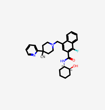 N#CC1(c2ccccn2)CCN(Cc2cc(C(=O)N[C@H]3CCCC[C@@H]3O)c(F)c3ccccc23)CC1